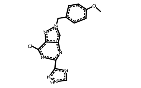 COc1ccc(Cn2cc3nc(-c4nc[nH]n4)nc(Cl)c3n2)cc1